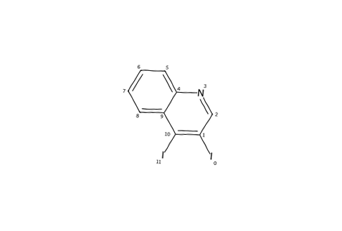 Ic1cnc2ccccc2c1I